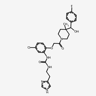 CC1(C(O)c2ccc(F)cc2)CCN(C(=O)COc2ccc(Cl)cc2NC(=O)NCCc2c[nH]cn2)CC1